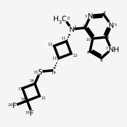 CN(c1ncnc2[nH]ccc12)[C@H]1C[C@@H](CSC2CC(F)(F)C2)C1